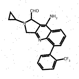 Nc1c2c(nc3c(-c4ccccc4C(F)(F)F)cccc13)CN(C1CC1)C2C=O